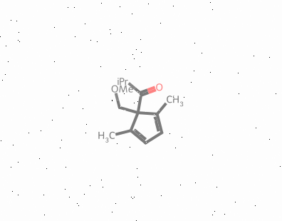 COCC1(C(=O)C(C)C)C(C)=CC=C1C